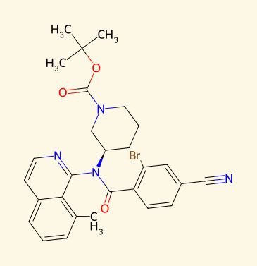 Cc1cccc2ccnc(N(C(=O)c3ccc(C#N)cc3Br)[C@@H]3CCCN(C(=O)OC(C)(C)C)C3)c12